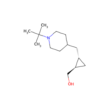 CC(C)(C)N1CCC(C[C@@H]2C[C@H]2CO)CC1